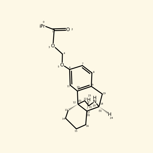 CC(C)C(=O)OCOc1ccc2c(c1)[C@]13CCCC[C@@H]1[C@H](C2)NCC3